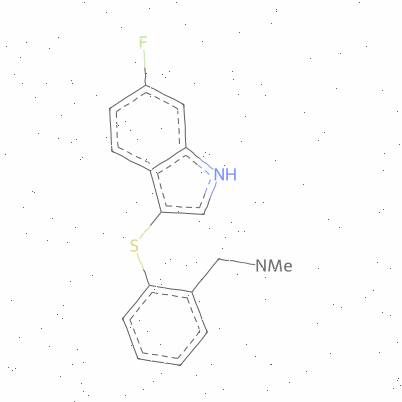 CNCc1ccccc1Sc1c[nH]c2cc(F)ccc12